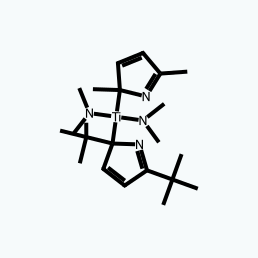 CC1=N[C](C)([Ti]([N](C)C)([N](C)C)[C]2(C(C)(C)C)C=CC(C(C)(C)C)=N2)C=C1